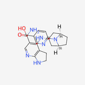 NC(=O)c1cnc2c(c1N[C@@H]1C[C@H]3CC[C@@H](C1)N3c1ccc(CO)cn1)CCN2